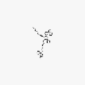 CCCCCCC#C[C@@H]1[C@H](CCCCCCC(=O)OCC)C(=O)C[C@H]1OC(=O)CC